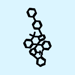 CC1(C)c2ccccc2C2(c3ccccc3-n3c4ccccc4c4cccc2c43)c2cccc(-c3ccc(-c4ccccc4)cc3)c21